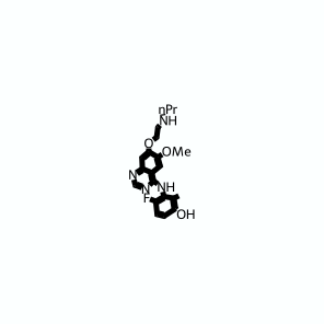 CCCNCCOc1cc2ncnc(Nc3c(F)ccc(O)c3C)c2cc1OC